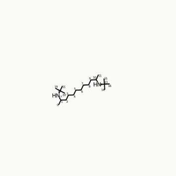 CC(CCCCCCCCC(C)NC(C)(C)C)NC(C)(C)C